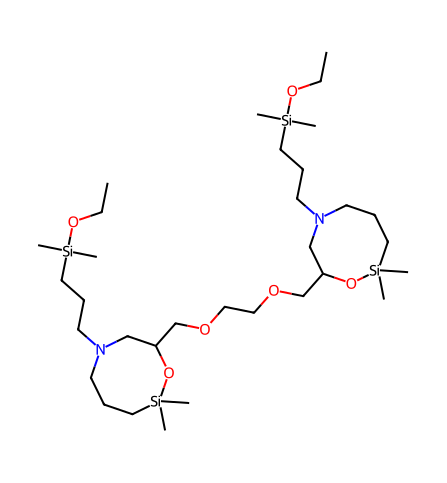 CCO[Si](C)(C)CCCN1CCC[Si](C)(C)OC(COCCOCC2CN(CCC[Si](C)(C)OCC)CCC[Si](C)(C)O2)C1